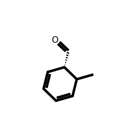 CC1C=CC=C[C@@H]1C=O